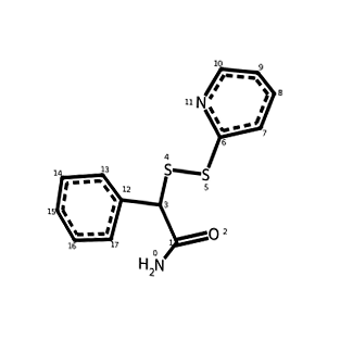 NC(=O)C(SSc1ccccn1)c1ccccc1